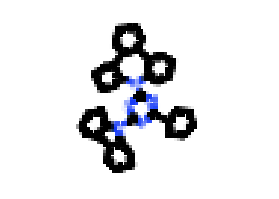 c1ccc(-c2nc(N3c4ccccc4-c4ccccc4-c4ccccc43)nc(-n3c4ccccc4c4ccccc43)n2)cc1